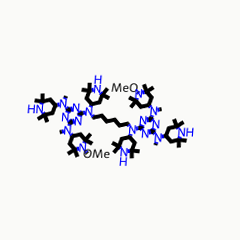 CON1C(C)(C)CC(N(C)c2nc(N(C)C3CC(C)(C)NC(C)(C)C3)nc(N(CCCCCCN(c3nc(N(C)C4CC(C)(C)NC(C)(C)C4)nc(N(C)C4CC(C)(C)N(OC)C(C)(C)C4)n3)C3CC(C)(C)NC(C)(C)C3)C3CC(C)(C)NC(C)(C)C3)n2)CC1(C)C